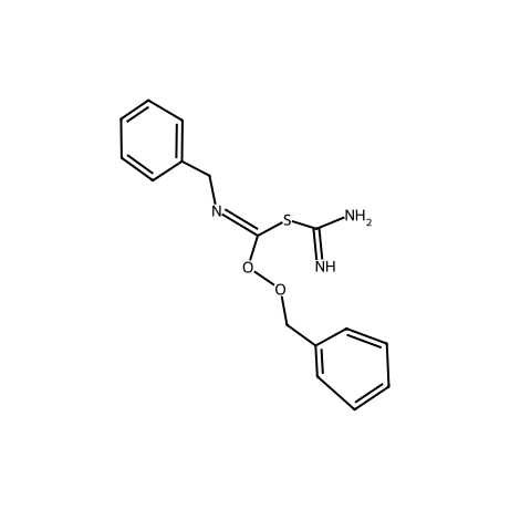 N=C(N)SC(=NCc1ccccc1)OOCc1ccccc1